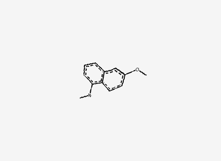 C[N]c1cccc2cc(OC)ccc12